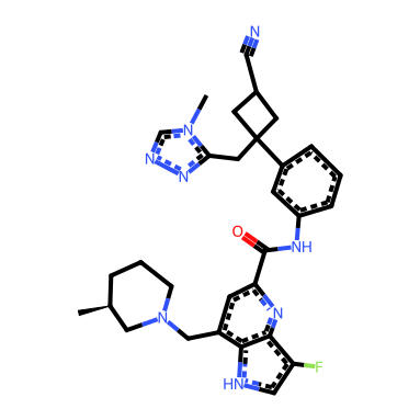 C[C@H]1CCCN(Cc2cc(C(=O)Nc3cccc(C4(Cc5nncn5C)CC(C#N)C4)c3)nc3c(F)c[nH]c23)C1